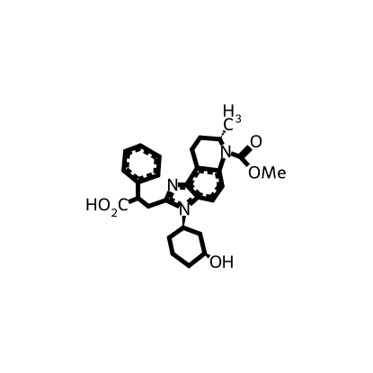 COC(=O)N1c2ccc3c(nc(CC(C(=O)O)c4ccccc4)n3[C@@H]3CCC[C@H](O)C3)c2CC[C@@H]1C